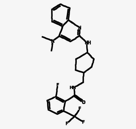 CN(C)c1cc(NC2CCC(CNC(=O)c3c(F)cccc3C(F)(F)F)CC2)nc2ccccc12